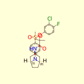 CC(C)(Oc1ccc(F)c(Cl)c1)C(=O)N[C@H]1C[C@H]2CC[C@@H](C1)N2c1ccc(S(C)(=O)=O)cc1